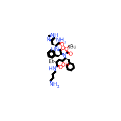 CC[C@H](C[C@H](O)[C@H](CC1CCCCC1)N(C(=O)OC(C)(C)C)[C@@H](Cc1ccccc1)C(=O)N[C@@H](Cc1c[nH]cn1)C(N)=O)C(=O)NCCCCN